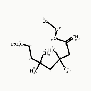 C=C(CC(C)(C)CC(C)(C)CCC(=O)OCC)OOCC